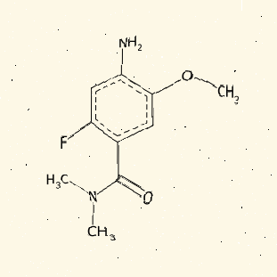 COc1cc(C(=O)N(C)C)c(F)cc1N